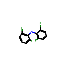 Fc1cccc(F)c1[N]c1c(F)cccc1F